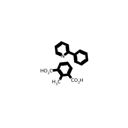 Cc1c(C(=O)O)cccc1C(=O)O.c1ccc(-c2ccccn2)cc1